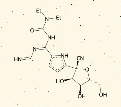 CCN(CC)C(=O)N/C(=N/C=N)c1ccc([C@]2(C#N)O[C@H](CO)[C@@H](O)[C@H]2O)[nH]1